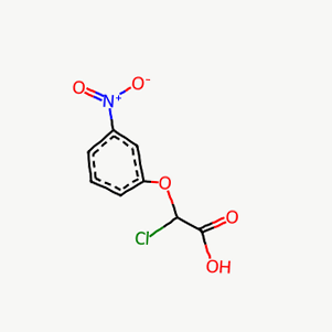 O=C(O)C(Cl)Oc1cccc([N+](=O)[O-])c1